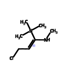 CN/C(=C/CCl)[Si](C)(C)C